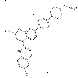 CC1CN(C(=O)Nc2ccc(Cl)cc2F)c2ccc(-c3ccc(C4CCC(CC(=O)O)CC4)cc3)cc2O1